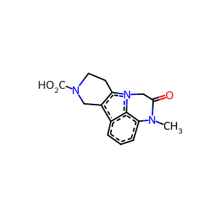 CN1C(=O)Cn2c3c(c4cccc1c42)CN(C(=O)O)CC3